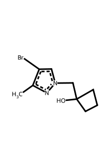 Cc1nn(CC2(O)CCC2)cc1Br